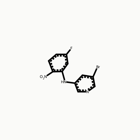 O=[N+]([O-])c1ccc(F)cc1Nc1cncc(Br)c1